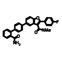 CNC(=O)c1c(-c2ccc(F)cc2)oc2ccc(-c3ccc(-c4ccccc4C(N)=O)cc3)cc12